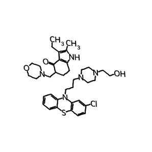 CCc1c(C)[nH]c2c1C(=O)C(CN1CCOCC1)CC2.OCCN1CCN(CCCN2c3ccccc3Sc3ccc(Cl)cc32)CC1